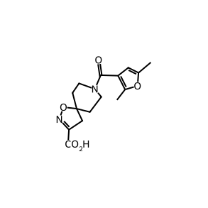 Cc1cc(C(=O)N2CCC3(CC2)CC(C(=O)O)=NO3)c(C)o1